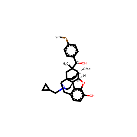 CCCSc1ccc([C@@H](O)C2(C)CC34C=C[C@]2(OC)[C@H]2Oc5c(O)ccc6c5[C@@]23CCN(CC2CC2)C4C6)cc1